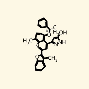 Cc1c(-c2cc(-c3cc(O)[nH]n3)c3c(O[C@@H](C)c4ccccc4)ccc(C)c3n2)oc2ccccc12